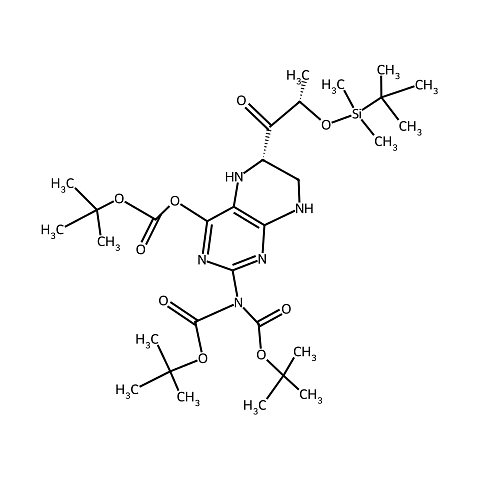 C[C@H](O[Si](C)(C)C(C)(C)C)C(=O)[C@@H]1CNc2nc(N(C(=O)OC(C)(C)C)C(=O)OC(C)(C)C)nc(OC(=O)OC(C)(C)C)c2N1